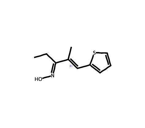 CCC(=NO)/C(C)=C/c1cccs1